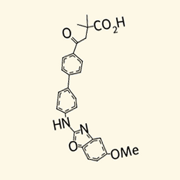 COc1ccc2oc(Nc3ccc(-c4ccc(C(=O)CC(C)(C)C(=O)O)cc4)cc3)nc2c1